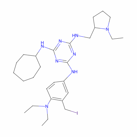 CCN(CC)c1ccc(Nc2nc(NCC3CCCN3CC)nc(NC3CCCCCC3)n2)cc1CI